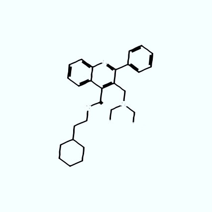 O=C(O)CN(CC(=O)O)Cc1c(-c2ccccc2)nc2ccccc2c1C(=O)NCCC1CCCCC1